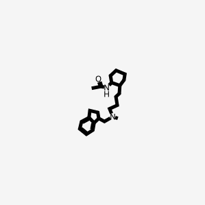 CC(=O)NC1CCCCC1CCCCN(C)CC1CCc2ccccc21